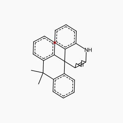 CC1(C)c2ccccc2C2(C3=C(C=CC3)Nc3ccccc32)c2ccccc21